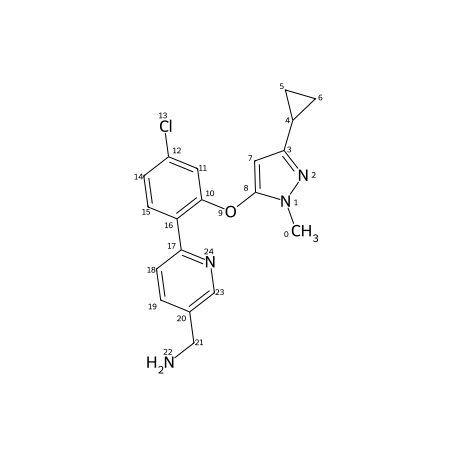 Cn1nc(C2CC2)cc1Oc1cc(Cl)ccc1-c1ccc(CN)cn1